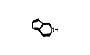 [CH]1NC=CC2=CC=CC12